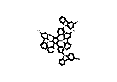 N#Cc1ccc2c(c1)c1ccccc1n2-c1ccc(-c2c(C#N)c(-n3c4ccccc4c4cc(C#N)ccc43)c(-c3ccccn3)c(-c3ccc(-n4c5ccccc5c5cc(C#N)ccc54)cc3)c2-n2c3ccccc3c3cc(C#N)ccc32)cc1